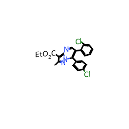 CCOC(=O)c1c(C)nn2c(-c3ccc(Cl)cc3)c(-c3ccccc3Cl)cnc12